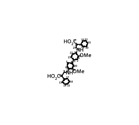 COc1cc(-c2ccc(NCC(C(=O)O)c3ccccc3)c(OC)c2)ccc1NCC(C(=O)O)c1ccccc1